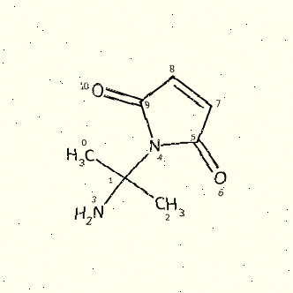 CC(C)(N)N1C(=O)C=CC1=O